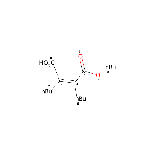 CCCCOC(=O)/C(CCCC)=C(/CCCC)C(=O)O